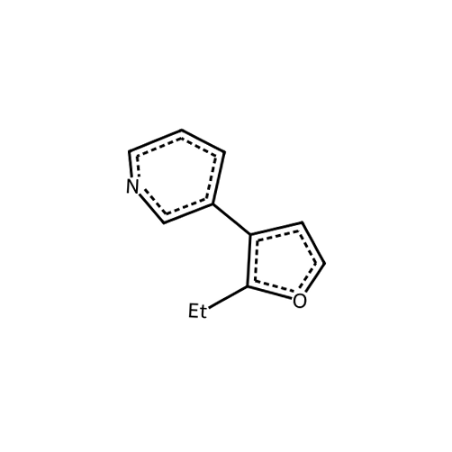 [CH2]Cc1occc1-c1cccnc1